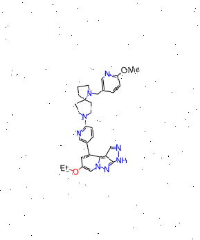 CCOc1cc(-c2ccc(N3CCC4(CCCN4Cc4ccc(OC)nc4)CC3)nc2)c2c3cn[nH]c3nn2c1